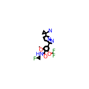 COc1cc(-c2cnn3cc(C4(C#N)CC4)ccc23)cc(OC(F)F)c1C(=O)NC1CC1F